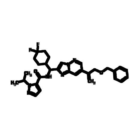 C=C(COCc1ccccc1)c1cnn2cc(C(NC(=O)c3ccnn3C(C)C)C3CCC(F)(F)CC3)nc2c1